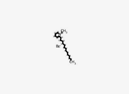 CCCCCCCCCCCCCCc1cccc[n+]1CC.[Br-]